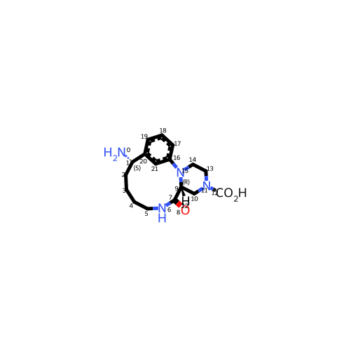 N[C@H]1CCCCNC(=O)[C@H]2CN(C(=O)O)CCN2c2cccc1c2